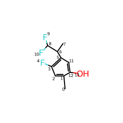 Cc1cc(F)c(C(C)C(F)F)cc1O